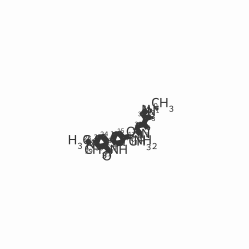 CCn1cc(-c2cnc(N)c(O[C@H](C)c3cccc(NC(=O)c4cccc(N(C)C)c4)c3)c2)cn1